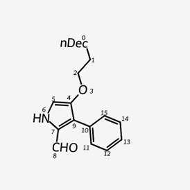 CCCCCCCCCCCCOc1c[nH]c(C=O)c1-c1ccccc1